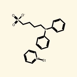 CC[n+]1ccccc1.O=S(=O)([O-])CCCCP(c1ccccc1)c1ccccc1